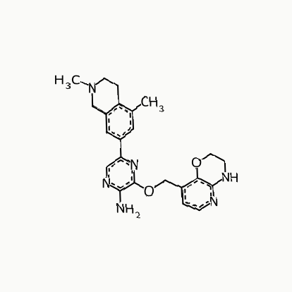 Cc1cc(-c2cnc(N)c(OCc3ccnc4c3OCCN4)n2)cc2c1CCN(C)C2